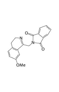 COc1ccc2c(c1)C(CN1C(=O)c3ccccc3C1=O)=NCC2